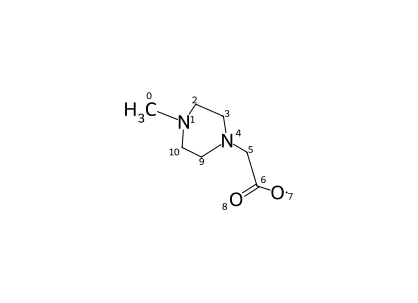 CN1CCN(CC([O])=O)CC1